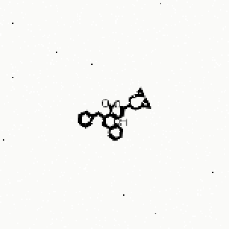 O=c1oc(C(CC2CC2)CC2CC2)cc(O)c1C(Cc1ccccc1)Cc1ccccc1